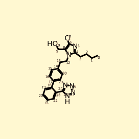 CCCCc1nc(Cl)c(CO)n1CCc1ccc(-c2ccccc2-c2nnn[nH]2)cc1